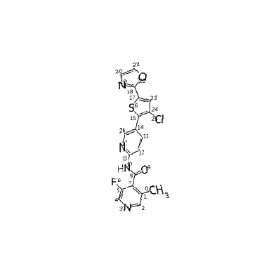 Cc1cncc(F)c1C(=O)Nc1ccc(-c2sc(-c3ncco3)cc2Cl)cn1